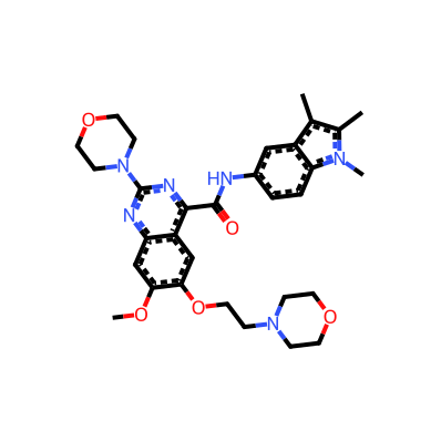 COc1cc2nc(N3CCOCC3)nc(C(=O)Nc3ccc4c(c3)c(C)c(C)n4C)c2cc1OCCN1CCOCC1